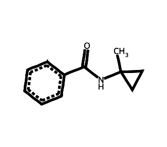 CC1(NC(=O)c2[c]cccc2)CC1